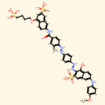 COc1ccc(Nc2ccc3c(O)c(N=Nc4ccc(N=Nc5ccc(C(=O)Nc6ccc7c(OCCCCS(=O)(=O)O)cc(S(=O)(=O)O)cc7c6)cc5C)cc4)c(S(=O)(=O)O)cc3c2)cc1